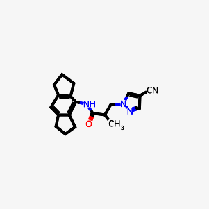 C[C](Cn1cc(C#N)cn1)C(=O)Nc1c2c(cc3c1CCC3)CCC2